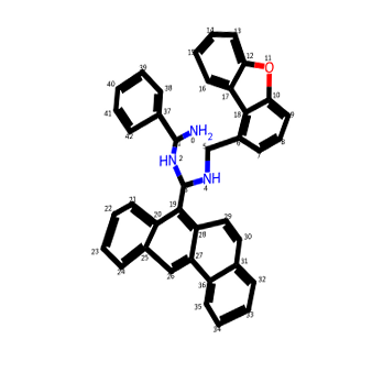 NC(NC(NCc1cccc2oc3ccccc3c12)c1c2ccccc2cc2c1ccc1ccccc12)c1ccccc1